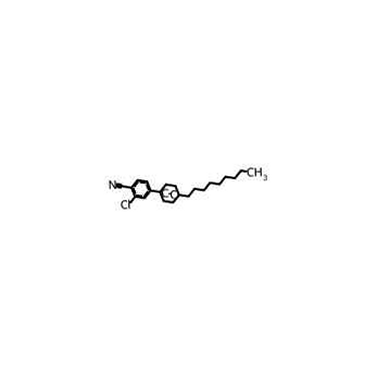 CCCCCCCCCC12CCC(c3ccc(C#N)c(Cl)c3)(CC1)CC2